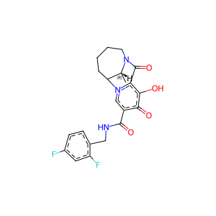 C[C@@H]1C2CCCCN1C(=O)c1c(O)c(=O)c(C(=O)NCc3ccc(F)cc3F)cn12